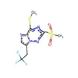 CSc1nc(S(C)(=O)=O)nn2c(CC(F)(F)F)cnc12